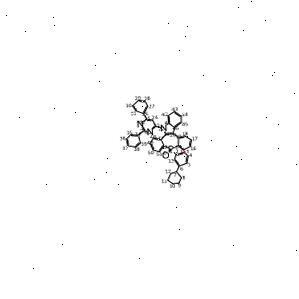 O=P1(c2cccc(C3CCCCC3)c2)c2ccccc2-c2c(n(-c3cc(-c4ccccc4)nc(-c4ccccc4)n3)c3ccccc23)-c2ccccc21